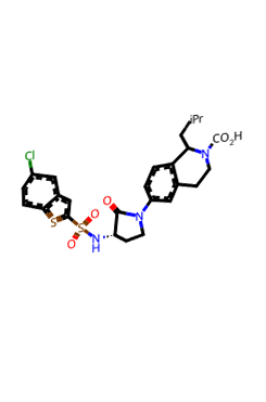 CC(C)CC1c2ccc(N3CC[C@H](NS(=O)(=O)c4cc5cc(Cl)ccc5s4)C3=O)cc2CCN1C(=O)O